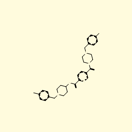 C=C(c1ccc(C(=O)NC2CCN(Cc3ccc(Cl)cc3)CC2)nc1)N1CCN(Cc2ccc(F)cc2)CC1